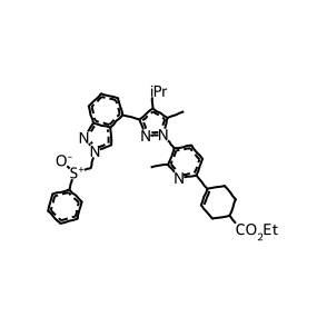 CCOC(=O)C1CC=C(c2ccc(-n3nc(-c4cccc5nn(C[S+]([O-])c6ccccc6)cc45)c(C(C)C)c3C)c(C)n2)CC1